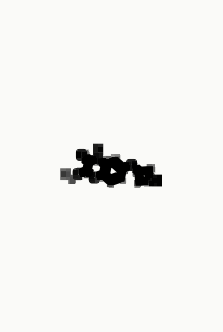 CC1Oc2ccc(OC3CNC3)cc2NC1=O